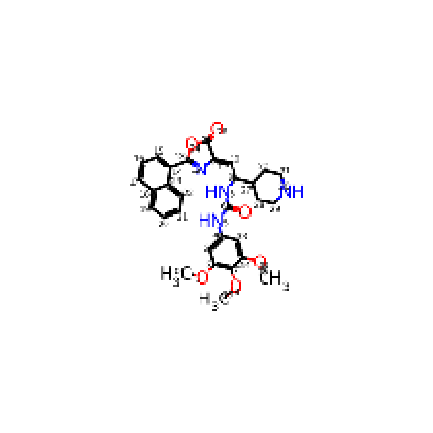 COc1cc(NC(=O)NC(C=C2N=C(c3cccc4ccccc34)OC2=O)C2CCNCC2)cc(OC)c1OC